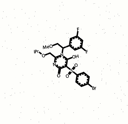 COCC(c1cc(F)cc(F)c1)n1c(COC(C)C)nc(=O)c(S(=O)(=O)c2ccc(Br)cc2)c1O